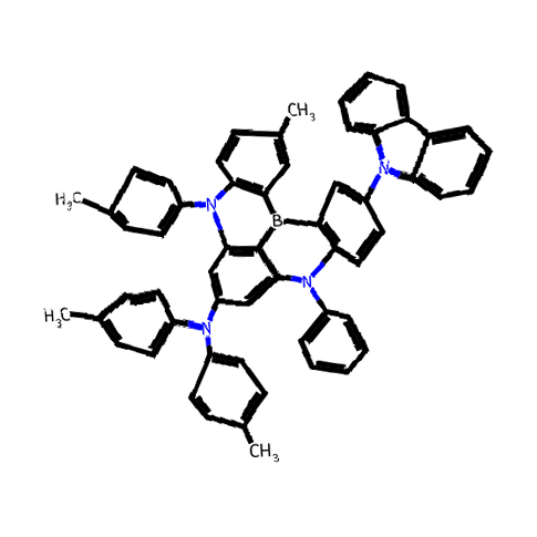 Cc1ccc(N(c2ccc(C)cc2)c2cc3c4c(c2)N(c2ccccc2)c2ccc(-n5c6ccccc6c6ccccc65)cc2B4c2cc(C)ccc2N3c2ccc(C)cc2)cc1